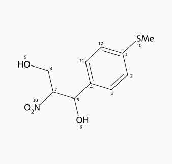 CSc1ccc(C(O)C(CO)[N+](=O)[O-])cc1